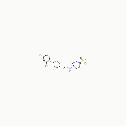 CS(=O)(=O)N1CCC(NCC[C@H]2CC[C@@H](c3ccc(F)cc3Cl)CC2)CC1